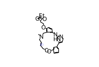 CCS(=O)(=O)CCOc1ccc2cc1CN(C)C/C=C/CCOc1cccc(c1)-c1ccnc(n1)N2